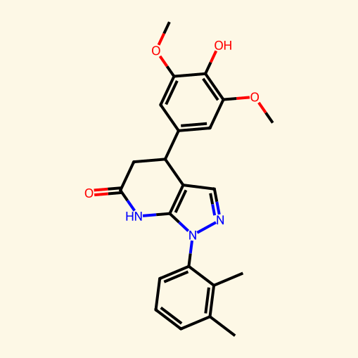 COc1cc(C2CC(=O)Nc3c2cnn3-c2cccc(C)c2C)cc(OC)c1O